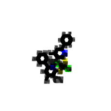 Cc1cc(-c2ccccc2)nc([S][Sn]([Cl])([Cl])[S]c2nc(-c3ccccc3)cc(C)c2C#N)c1C#N